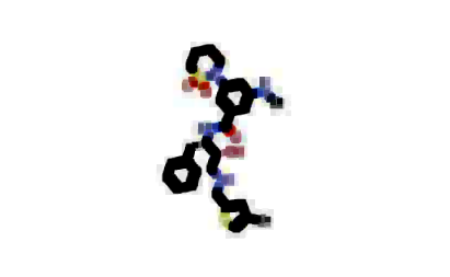 CCNc1cc(C(=O)N[C@@H](Cc2ccccc2)[C@H](O)CNCc2cc(CC)cs2)cc(N2CCCCS2(=O)=O)c1